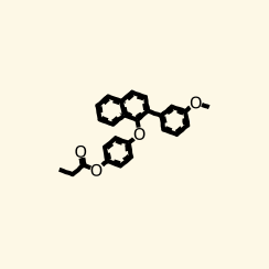 CCC(=O)Oc1ccc(Oc2c(-c3cccc(OC)c3)ccc3ccccc23)cc1